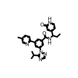 CCC(NC(=O)c1cc(-c2ccc(C)cn2)cc(-n2ncnc2C(C)C)c1)c1cc[nH]c(=O)c1